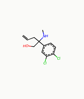 C=CCC(CO)(NC)c1ccc(Cl)c(Cl)c1